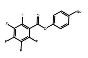 CCC(C)c1ccc(OC(=O)c2c(F)c(F)c(F)c(F)c2F)cc1